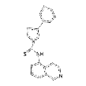 S=C(Nc1cccc2cnccc12)n1ccc(-c2ccccc2)c1